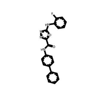 O=C(Nc1ccc(-c2c[c]ccc2)cc1)c1nnc(Nc2ccccc2F)o1